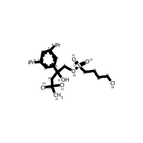 CC(C)c1cc(C(C)C)cc(C(O)(COS(=O)(=O)CCCCCl)CC(C)(Cl)Cl)c1